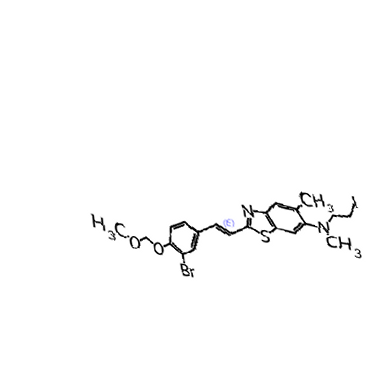 COCOc1ccc(/C=C/c2nc3cc(C)c(N(C)CCI)cc3s2)cc1Br